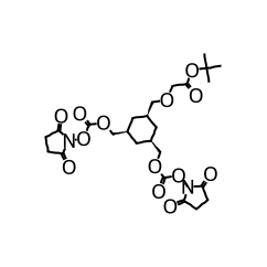 CC(C)(C)OC(=O)COC[C@H]1C[C@@H](COC(=O)ON2C(=O)CCC2=O)C[C@@H](COC(=O)ON2C(=O)CCC2=O)C1